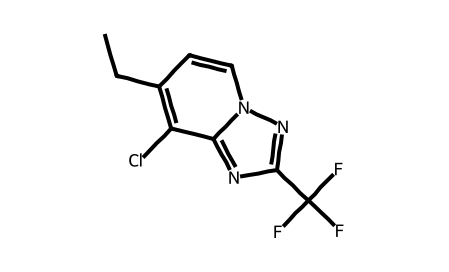 CCc1ccn2nc(C(F)(F)F)nc2c1Cl